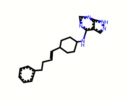 C(=C\C1CCC(Nc2ncnc3[nH]ncc23)CC1)/CCc1ccccc1